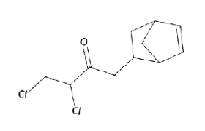 O=C(CC1CC2C=CC1C2)C(Cl)CCl